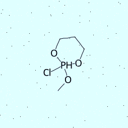 CO[PH]1(Cl)OCCCO1